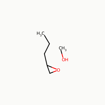 CCCC1CO1.CO